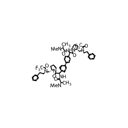 CN[C@@H](C)C(=O)NC(C(=O)N1CCC[C@H]1CN(CCc1ccccc1)C(=O)C(F)(F)F)c1ccc(-c2ccc(C(NC(=O)[C@H](C)NC)C(=O)N3CCC[C@H]3CN(CCc3ccccc3)C(=O)C(F)(F)F)cc2)cc1